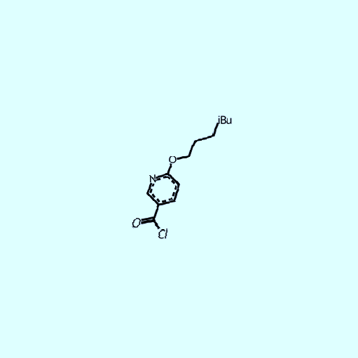 CCC(C)CCCOc1ccc(C(=O)Cl)cn1